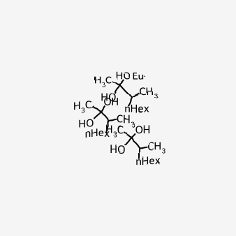 CCCCCCC(C)C(C)(O)O.CCCCCCC(C)C(C)(O)O.CCCCCCC(C)C(C)(O)O.[Eu]